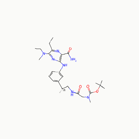 CCc1nc(C(N)=O)c(Nc2cccc([C@@H](C)CNC(=O)CN(C)C(=O)OC(C)(C)C)c2)nc1N(C)CC